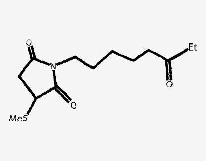 CCC(=O)CCCCCN1C(=O)CC(SC)C1=O